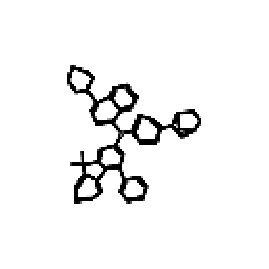 CC1(C)c2ccccc2-c2c(-c3ccccc3)cc(N(c3ccc(C4CC5CCC4C5)cc3)c3ccc(C4CCCCC4)c4ccccc34)cc21